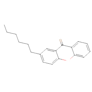 CCCCCCc1ccc2oc3ccccc3c(=S)c2c1